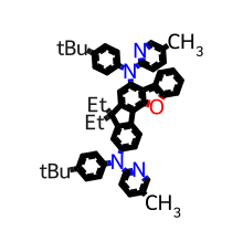 CCC1(CC)c2cc(N(c3ccc(C(C)(C)C)cc3)c3ccc(C)cn3)ccc2-c2c1cc(N(c1ccc(C(C)(C)C)cc1)c1ccc(C)cn1)c1c2oc2ccccc21